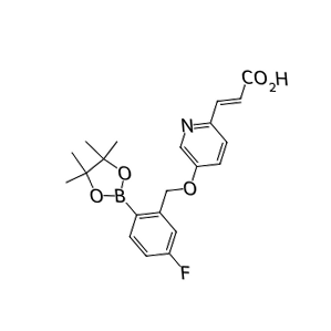 CC1(C)OB(c2ccc(F)cc2COc2ccc(C=CC(=O)O)nc2)OC1(C)C